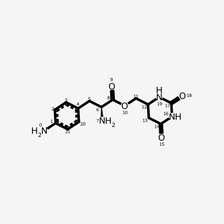 Nc1ccc(C[C@H](N)C(=O)OCC2CC(=O)NC(=O)N2)cc1